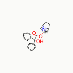 CC(C)N1C2CCC1CC(OC(=O)C(O)(c1ccccc1)c1ccccc1)C2